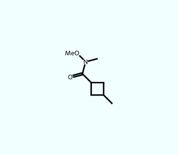 CON(C)C(=O)C1CC(C)C1